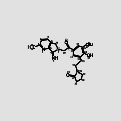 Cc1ccc2c(n1)C(=N)N(CC(=O)c1cc(CCN3CCCC3=O)c(O)c(C(C)(C)C)c1)C2